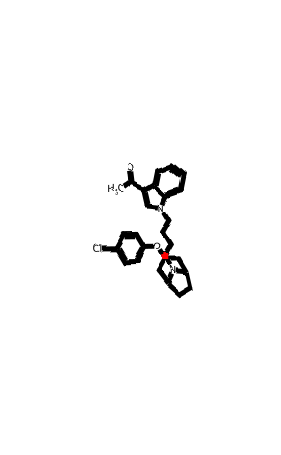 CC(=O)c1cn(CCCCN2C3CCC2CC(Oc2ccc(Cl)cc2)C3)c2ccccc12